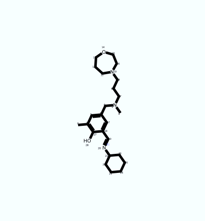 Cc1cc(CN(C)CCCN2CCCOCC2)cc(/C=N/C2CCCCC2)c1O